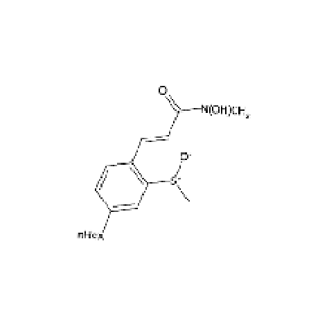 CCCCCCc1ccc(C=CC(=O)N(C)O)c([S+](C)[O-])c1